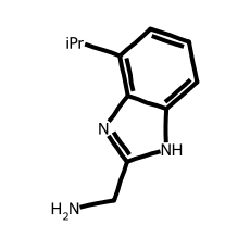 CC(C)c1cccc2[nH]c(CN)nc12